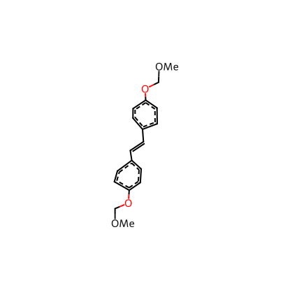 COCOc1ccc(/C=C/c2ccc(OCOC)cc2)cc1